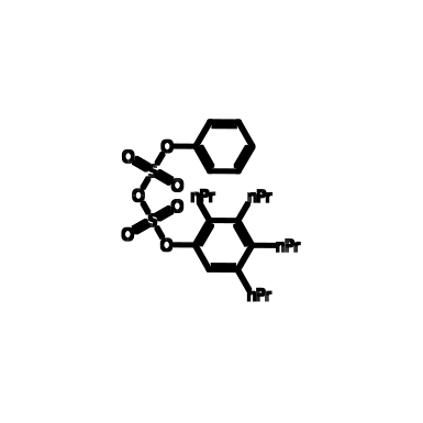 CCCc1cc(OS(=O)(=O)OS(=O)(=O)Oc2ccccc2)c(CCC)c(CCC)c1CCC